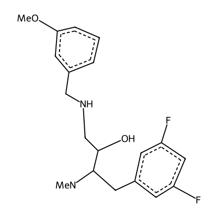 CNC(Cc1cc(F)cc(F)c1)C(O)CNCc1cccc(OC)c1